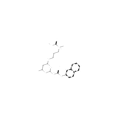 CC(C)C1CC(NCCCN(C)C(=O)OC(C)(C)C)NC(NC(=O)Nc2ccc3ccccc3c2)N1